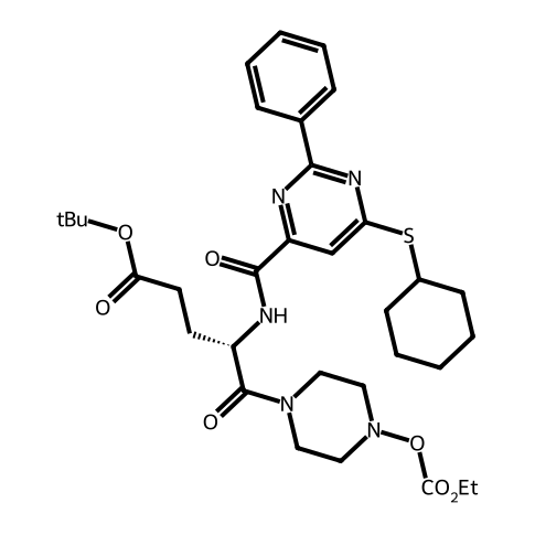 CCOC(=O)ON1CCN(C(=O)[C@H](CCC(=O)OC(C)(C)C)NC(=O)c2cc(SC3CCCCC3)nc(-c3ccccc3)n2)CC1